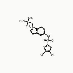 CC(C)(N)Cn1ccc2cc(NS(=O)(=O)c3cc(Cl)c(Cl)s3)ccc21